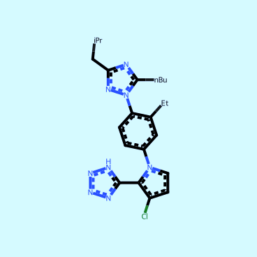 CCCCc1nc(CC(C)C)nn1-c1ccc(-n2ccc(Cl)c2-c2nnn[nH]2)cc1CC